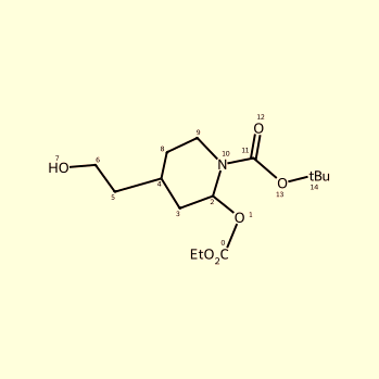 CCOC(=O)OC1CC(CCO)CCN1C(=O)OC(C)(C)C